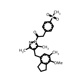 COc1c(C)cc(Cc2c(C)nn(C(=O)Cc3ccc(S(C)(=O)=O)cc3)c2C)c2c1CCC2